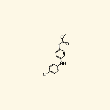 COC(=O)Cc1ccc(Nc2ccc(Cl)cc2)cc1